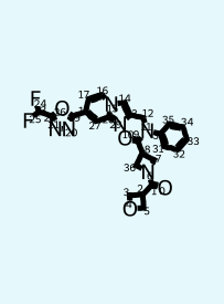 O=C(C1COC1)N1CC(C(=O)N(Cc2cn3ccc(-c4nnc(C(F)F)o4)cc3n2)c2ccccc2)C1